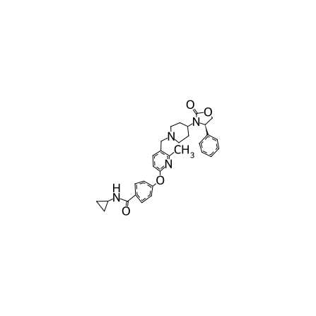 Cc1nc(Oc2ccc(C(=O)NC3CC3)cc2)ccc1CN1CCC(N2C(=O)OC[C@H]2c2ccccc2)CC1